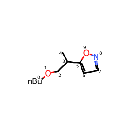 [CH2]CCCOCC(C)c1ccno1